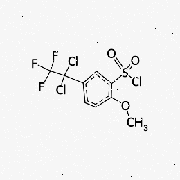 COc1ccc(C(Cl)(Cl)C(F)(F)F)cc1S(=O)(=O)Cl